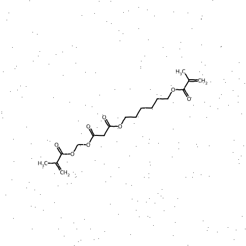 C=C(C)C(=O)OCCCCCCOC(=O)CC(=O)OCOC(=O)C(=C)C